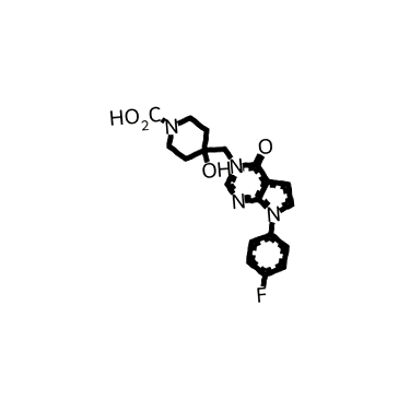 O=C(O)N1CCC(O)(Cn2cnc3c(ccn3-c3ccc(F)cc3)c2=O)CC1